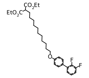 CCOC(=O)C(CCCCCCCCCCCOc1ccc(-c2cccc(F)c2F)cc1)C(=O)OCC